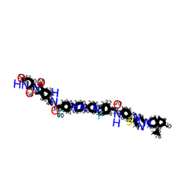 C[C@@H]1CCC2(CCN(c3cnc(Sc4cccc(NC(=O)c5ccc(N6CCC(N7CCN(c8ccc(C(=O)NCc9ccc%10c(c9)CN(C9CCC(=O)NC9=O)C%10=O)c(F)c8)CC7)CC6)c(F)c5)c4)cn3)CC2)[C@@H]1C1CC1